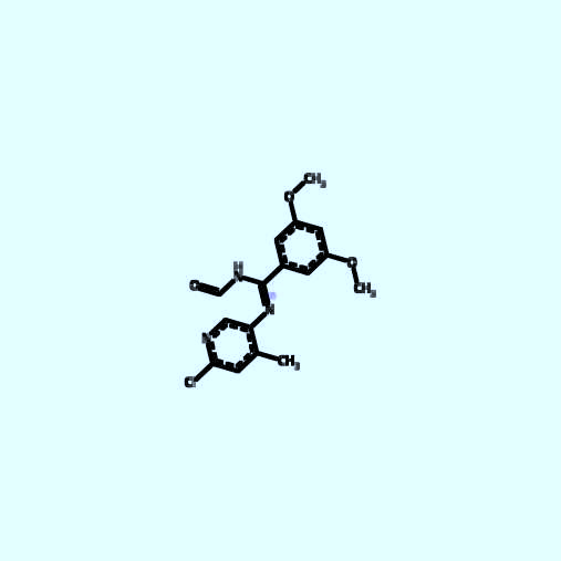 COc1cc(OC)cc(/C(=N/c2cnc(Cl)cc2C)NC=O)c1